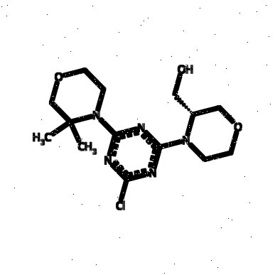 CC1(C)COCCN1c1nc(Cl)nc(N2CCOC[C@H]2CO)n1